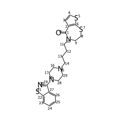 O=C1c2ccsc2SCCN1CCCCN1CCN(c2nsc3ccccc23)CC1